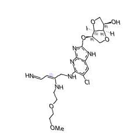 COCCOCCN/C(=C\C=N)CNc1nc2nc(O[C@@H]3CO[C@@H]4[C@H](O)CO[C@@]43I)[nH]c2cc1Cl